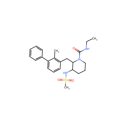 CCNC(=O)N1CCCC(NS(C)(=O)=O)C1Cc1cccc(-c2ccccc2)c1C